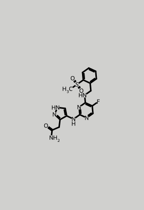 CS(=O)(=O)c1ccccc1CNc1nc(Nc2c[nH]nc2CC(N)=O)ncc1F